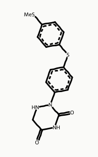 CSc1ccc(Sc2ccc(N3NCC(=O)NC3=O)cc2)cc1